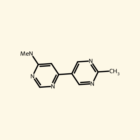 CNc1cc(-c2cnc(C)nc2)ncn1